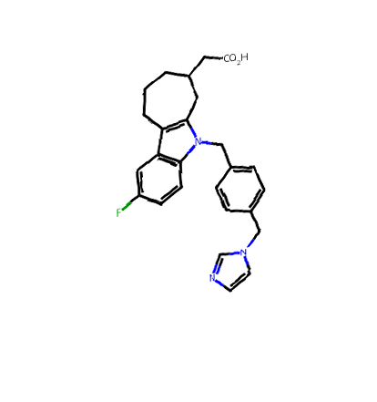 O=C(O)CC1CCCc2c(n(Cc3ccc(Cn4ccnc4)cc3)c3ccc(F)cc23)C1